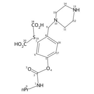 CCCNC(=O)Oc1ccc(CN2CCNCC2)cc1.O=C(O)SC(=O)O